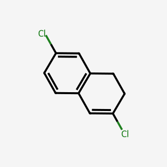 ClC1=Cc2ccc(Cl)cc2CC1